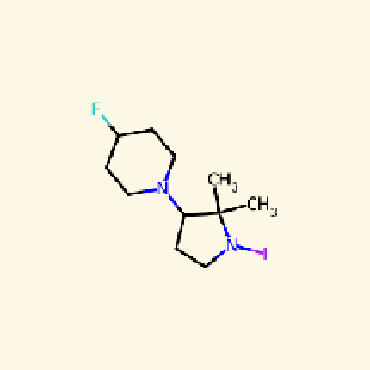 CC1(C)C(N2CCC(F)CC2)CCN1I